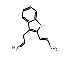 C=CCc1c(C=C[N+](=O)[O-])[nH]c2ccccc12